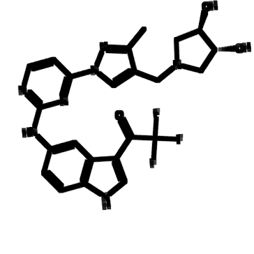 Cc1nn(-c2ccnc(Nc3ccc4[nH]cc(C(=O)C(F)(F)F)c4c3)n2)cc1CN1C[C@@H](O)[C@H](O)C1